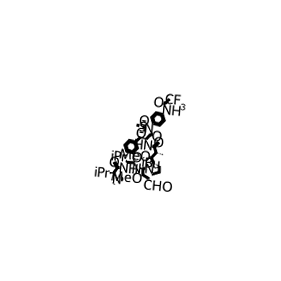 CC[C@@H](C)[C@]([C@@H](CC=O)OC)(N(C)C(=O)[C@@H](NC(=O)[C@H](C(C)C)N(C)C)C(C)C)N1CCC[C@H]1[C@H](OC)[C@@H](C)C(=O)N[C@@H](Cc1ccccc1)C(=O)N(c1ccc(NC(=O)C(F)(F)F)cc1)S(C)(=O)=O